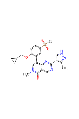 CCS(=O)(=O)c1ccc(OCC2CC2)c(-c2cn(C)c(=O)c3cnc(-c4c[nH]nc4C)nc23)c1